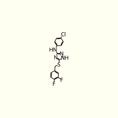 Fc1ccc(CSc2nc(Nc3ccc(Cl)cc3)n[nH]2)cc1F